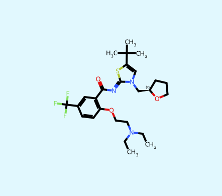 CCN(CC)CCOc1ccc(C(F)(F)F)cc1C(=O)N=c1sc(C(C)(C)C)cn1C[C@H]1CCCO1